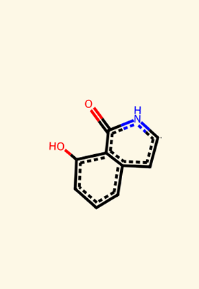 O=c1[nH][c]cc2cccc(O)c12